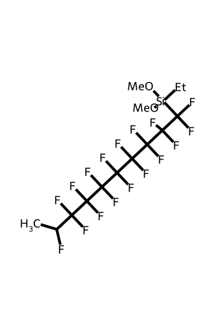 CC[Si](OC)(OC)C(F)(F)C(F)(F)C(F)(F)C(F)(F)C(F)(F)C(F)(F)C(F)(F)C(F)(F)C(C)F